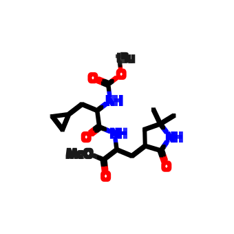 COC(=O)C(CC1CC(C)(C)NC1=O)NC(=O)C(CC1CC1)NC(=O)OC(C)(C)C